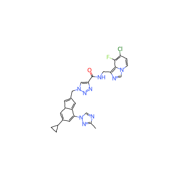 Cc1ncn(C2=CC(C3CC3)=CC3C=C(Cn4cc(C(=O)NCc5ncn6ccc(Cl)c(F)c56)nn4)C=C23)n1